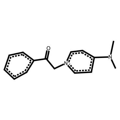 CN(C)c1cc[n+](CC(=O)c2ccccc2)cc1